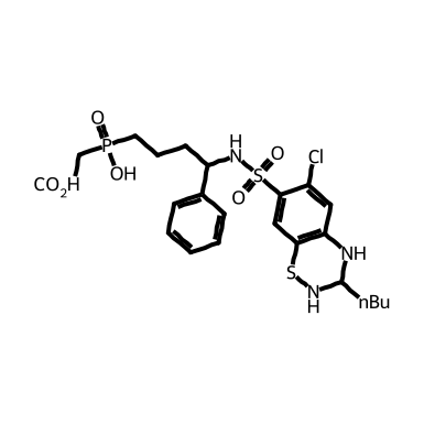 CCCCC1NSc2cc(S(=O)(=O)NC(CCCP(=O)(O)CC(=O)O)c3ccccc3)c(Cl)cc2N1